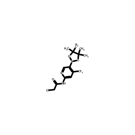 CC1(C)OB(c2cnc(NC(=O)CCl)cc2C(F)(F)F)OC1(C)C